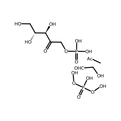 CC(C)=O.O=C(COP(=O)(O)O)[C@H](O)[C@H](O)CO.O=CCO.O=P(O)(OO)OO